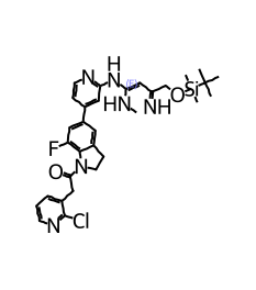 CN/C(=C\C(=N)CO[Si](C)(C)C(C)(C)C)Nc1cc(-c2cc(F)c3c(c2)CCN3C(=O)Cc2cccnc2Cl)ccn1